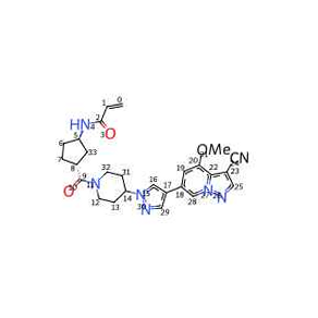 C=CC(=O)N[C@@H]1CC[C@@H](C(=O)N2CCC(n3cc(-c4cc(OC)c5c(C#N)cnn5c4)cn3)CC2)C1